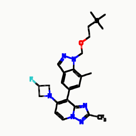 Cc1cc(-c2c(N3CC(F)C3)ccn3nc(C(F)(F)F)nc23)cc2cnn(COCC[Si](C)(C)C)c12